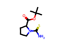 CC(C)(C)OC(=O)C1CCCN1C(N)=S